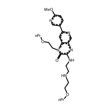 CCCOCCNCCNc1nc2cnc(-c3ccc(OC)nc3)cc2n(CCOCCC)c1=O